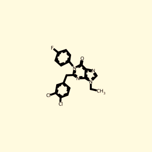 CCn1cnc2c(=O)n(-c3ccc(F)cc3)c(Cc3ccc(Cl)c(Cl)c3)nc21